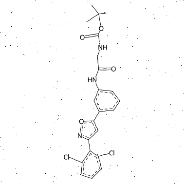 CC(C)(C)OC(=O)NCC(=O)Nc1cccc(-c2cc(-c3c(Cl)cccc3Cl)no2)c1